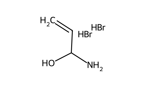 Br.Br.C=CC(N)O